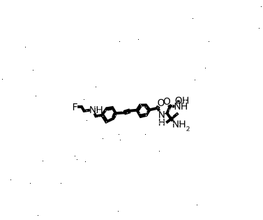 CC(C)(N)[C@H](NC(=O)c1ccc(C#Cc2ccc(CNCCF)cc2)cc1)C(=O)NO